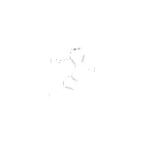 Nc1cccc(O)c1-c1ccc(Cl)s1